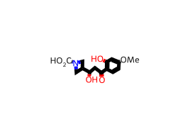 COc1ccc(C(=O)CC(O)C2CN(C(=O)O)C2)c(O)c1